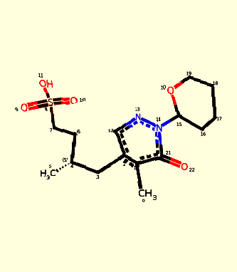 Cc1c(C[C@H](C)CCS(=O)(=O)O)cnn(C2CCCCO2)c1=O